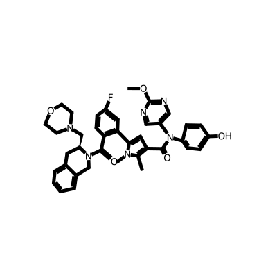 COc1ncc(N(C(=O)c2cc(-c3cc(F)ccc3C(=O)N3Cc4ccccc4C[C@H]3CN3CCOCC3)n(C)c2C)c2ccc(O)cc2)cn1